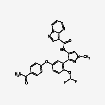 Cn1cc(NC(=O)c2cnn3cccnc23)c(-c2cc(Oc3ccc(C(N)=O)cc3)ccc2OC(F)F)n1